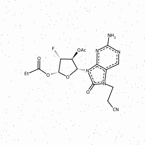 CCC(=O)O[C@H]1O[C@@H](n2c(=O)n(CCC#N)c3cnc(N)nc32)[C@H](OC(C)=O)[C@H]1F